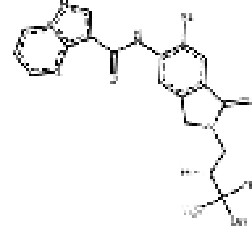 CCc1cc2c(cc1NC(=O)c1cnn3cccnc13)CN(C[C@@H](F)C(C)(C)O)C2=O